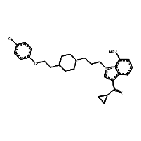 COc1cccc2c(C(=O)C3CC3)cn(CCCN3CCC(CCOc4ccc(Cl)cc4)CC3)c12